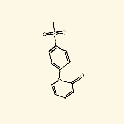 CS(=O)(=O)c1ccc(-n2ccccc2=O)cc1